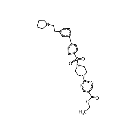 CCOC(=O)c1cnc(N2CCN(S(=O)(=O)c3ccc(-c4cccc(CCN5CCCC5)c4)cc3)CC2)nc1